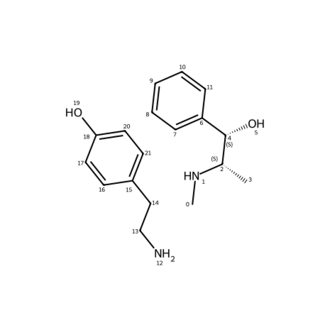 CN[C@@H](C)[C@@H](O)c1ccccc1.NCCc1ccc(O)cc1